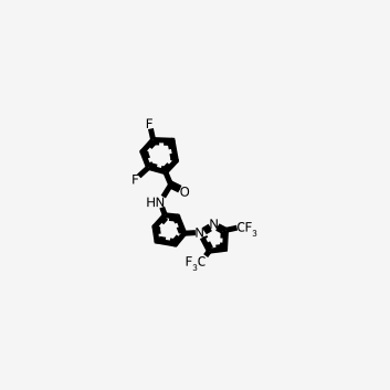 O=C(Nc1cccc(-n2nc(C(F)(F)F)cc2C(F)(F)F)c1)c1ccc(F)cc1F